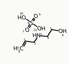 C=CCNCCO.O=S(=O)(O)O